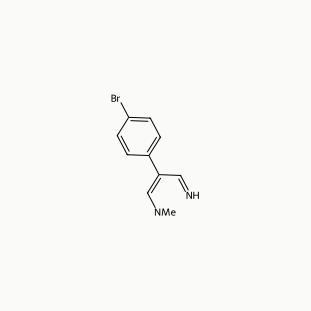 CN/C=C(\C=N)c1ccc(Br)cc1